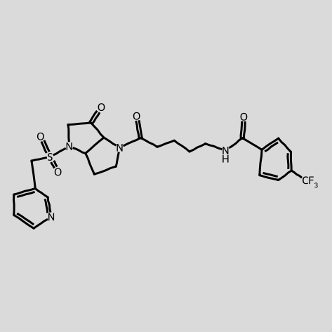 O=C(NCCCCC(=O)N1CCC2C1C(=O)CN2S(=O)(=O)Cc1cccnc1)c1ccc(C(F)(F)F)cc1